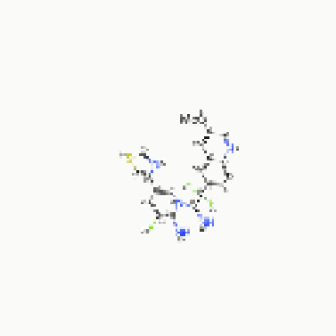 COc1cnc2ccc(C(F)(F)C(=N)n3cc(-c4cscn4)cc(F)c3=N)cc2c1